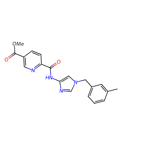 COC(=O)c1ccc(C(=O)Nc2cn(Cc3cccc(C)c3)cn2)nc1